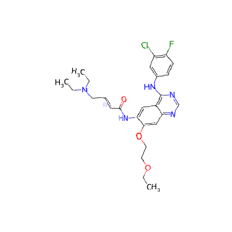 CCOCCOc1cc2ncnc(Nc3ccc(F)c(Cl)c3)c2cc1NC(=O)/C=C/CN(CC)CC